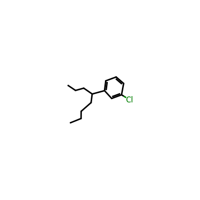 CCCCC(CCC)c1cccc(Cl)c1